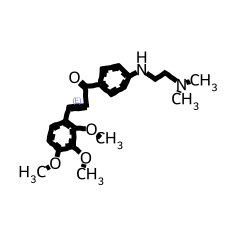 COc1ccc(/C=C/C(=O)c2ccc(NCCN(C)C)cc2)c(OC)c1OC